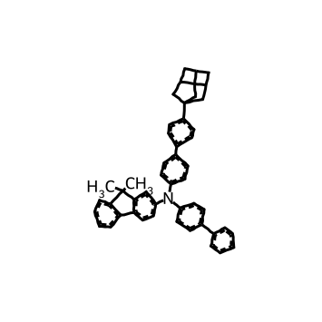 CC1(C)c2ccccc2-c2ccc(N(c3ccc(-c4ccccc4)cc3)c3ccc(-c4ccc(C56CC7CC8CC(C5)C87C6)cc4)cc3)cc21